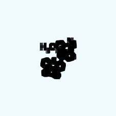 Cc1ccc(-c2nccn2-c2cccc3c(-c4cccc5c4Sc4ccccc4C54c5ccccc5-c5ccccc54)cccc23)c(C)n1